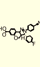 N#Cc1ccc(N2N=C3c4ccc(C(=O)O)cc4OC[C@H]3[C@H]2C2C=CC(F)=CC2)cc1